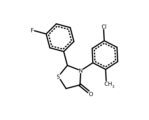 Cc1ccc(Cl)cc1N1C(=O)CSC1c1cccc(F)c1